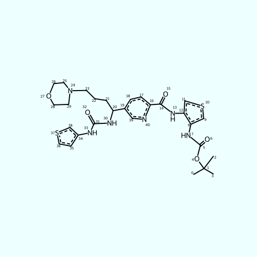 CC(C)(C)OC(=O)Nc1cscc1NC(=O)c1ccc(C(CCCN2CCOCC2)NC(=O)Nc2ccsc2)cn1